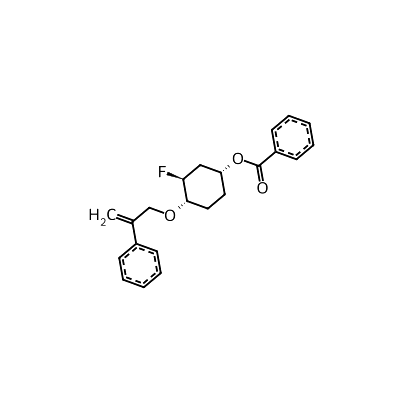 C=C(CO[C@H]1CC[C@@H](OC(=O)c2ccccc2)C[C@@H]1F)c1ccccc1